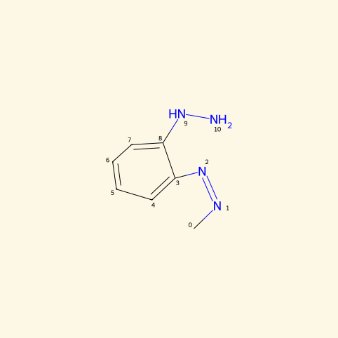 C/N=N\c1ccccc1NN